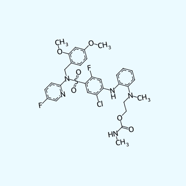 CNC(=O)OCCN(C)c1ccccc1Nc1cc(F)c(S(=O)(=O)N(Cc2ccc(OC)cc2OC)c2ccc(F)cn2)cc1Cl